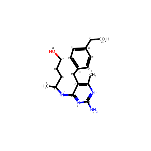 Cc1nc(N)nc(NC(C)CCCO)c1Cc1ccc(CC(=O)O)cc1